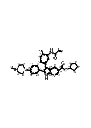 C=CC(=O)Nc1cc(-c2c(-c3ccc(N4CCN(C)CC4)cc3)[nH]c3ncc(C(=O)OC4CCCC4)cc23)ccc1C